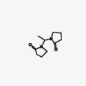 CC(N1CCCC1=O)N1CCCC1=O